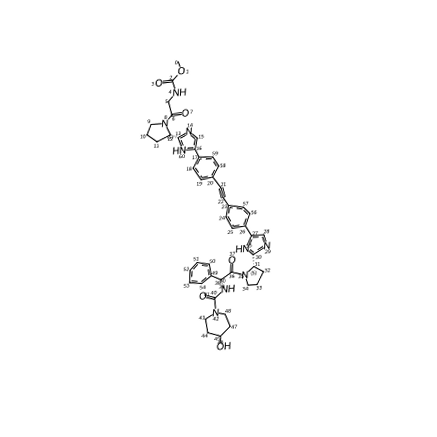 COC(=O)NCC(=O)N1CCC[C@H]1c1ncc(-c2ccc(C#Cc3ccc(-c4cnc([C@@H]5CCCN5C(=O)[C@H](NC(=O)N5CCC(O)CC5)c5ccccc5)[nH]4)cc3)cc2)[nH]1